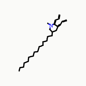 C=C/C=C1/CC(CCCCCCCCCCCCCCC)CN(C)/C1=C/C=C